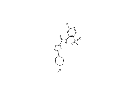 COC1CCN(c2ncc(C(=O)Nc3cc(F)ccc3S(C)(=O)=O)s2)CC1